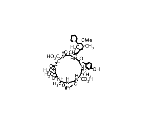 C=C1C(=O)N[C@H](C)C(=O)N[C@@H](CC(C)C)C(=O)N[C@@H](C(=O)O)[C@H](C)C(=O)N[C@@H](Cc2ccc(O)cc2)C(=O)N[C@@H](/C=C/C(C)=C/[C@H](C)[C@H](Cc2ccccc2)OC)[C@H](C)C(=O)N[C@@H](C(=O)O)CCC(=O)N1C